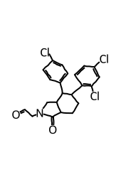 O=CCN1CC2C(CCC(c3ccc(Cl)cc3Cl)C2c2ccc(Cl)cc2)C1=O